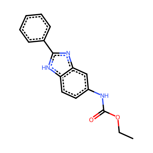 CCOC(=O)Nc1ccc2[nH]c(-c3ccccc3)nc2c1